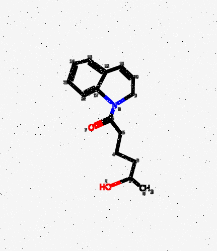 CC(O)CCCC(=O)N1CC=Cc2ccccc21